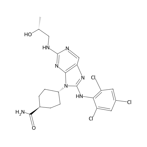 C[C@@H](O)CNc1ncc2nc(Nc3c(Cl)cc(Cl)cc3Cl)n([C@H]3CC[C@H](C(N)=O)CC3)c2n1